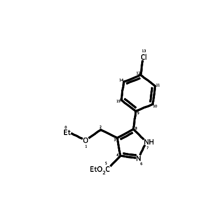 CCOCc1c(C(=O)OCC)n[nH]c1-c1ccc(Cl)cc1